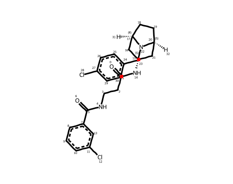 O=C(CCNC(=O)c1cccc(Cl)c1)N[C@@H]1C[C@H]2CC[C@@H](C1)N2Cc1ccc(Cl)cc1